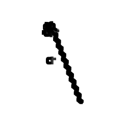 CCCCCCCCCCCCCCCCCCCCC[N+](C)(C)[Si](OC)(OC)OC.[Cl-]